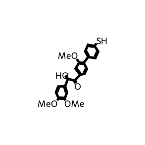 COc1ccc(C(O)C(=O)c2ccc(-c3ccc(S)cc3)c(OC)c2)cc1OC